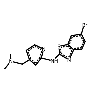 CN(C)Cc1ccnc(Nc2nc3ccc(Br)cc3s2)c1